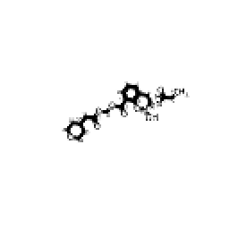 CCC(=O)N[C@H]1Cc2cccc(C(=O)OCOC(=O)CC3CCOCC3)c2OB1O